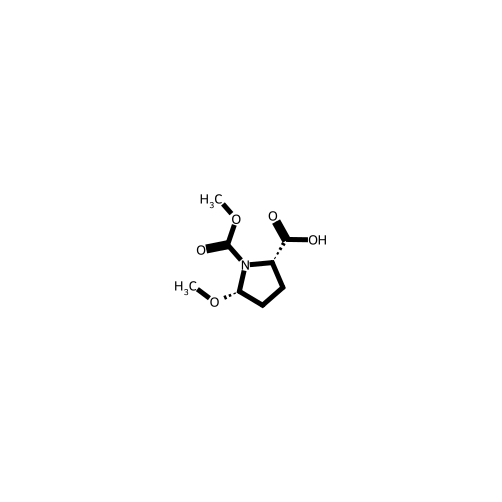 COC(=O)N1[C@@H](OC)CC[C@H]1C(=O)O